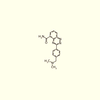 CN(C)Cc1ccc(-c2nnc3cccc(C(N)=O)c3n2)cc1